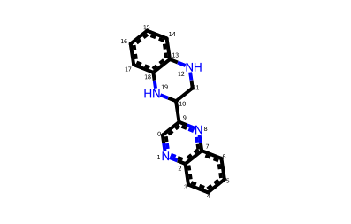 [c]1nc2ccccc2nc1C1CNc2ccccc2N1